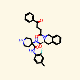 Cc1ccc(NC(=O)C2(NC(=O)[C@@H]3Cc4ccccc4CN3C(=O)CCC(=O)c3ccccc3)CCNCC2)c(F)c1